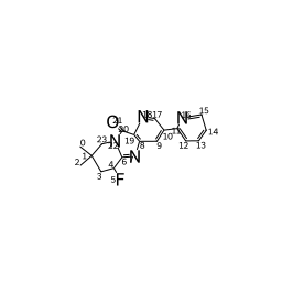 CC1(C)CC(F)c2nc3cc(-c4ccccn4)cnc3c(=O)n2C1